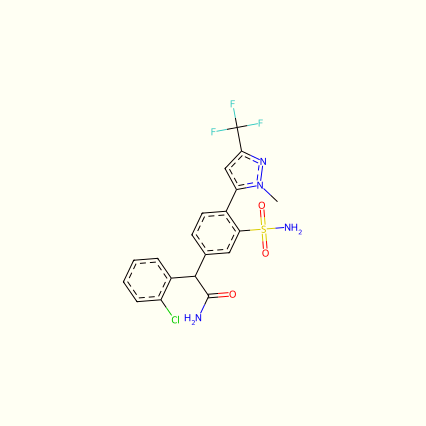 Cn1nc(C(F)(F)F)cc1-c1ccc(C(C(N)=O)c2ccccc2Cl)cc1S(N)(=O)=O